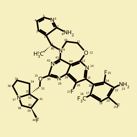 C[C@H](c1cccnc1N)N1CCOc2nc(-c3c(C(F)(F)F)cc(F)c(N)c3F)c(F)c3nc(OC[C@@]45CCCN4C[C@H](F)C5)nc1c23